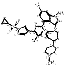 CN1CCN(C2CCN(c3nn(C)c4cc(N)cc(-c5ncc(Cl)c(-c6cnn(S(=O)(=O)C7CC7)c6)n5)c34)CC2)CC1